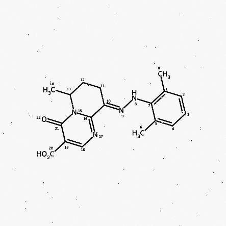 Cc1cccc(C)c1NN=C1CCC(C)n2c1ncc(C(=O)O)c2=O